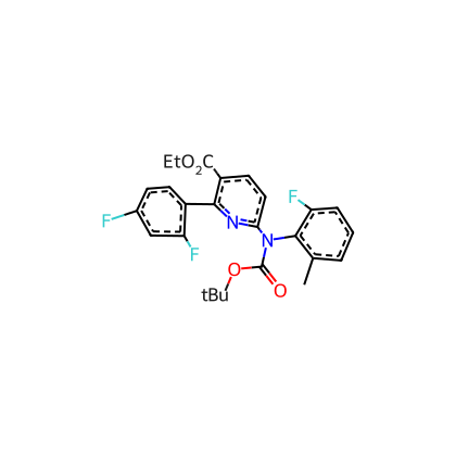 CCOC(=O)c1ccc(N(C(=O)OC(C)(C)C)c2c(C)cccc2F)nc1-c1ccc(F)cc1F